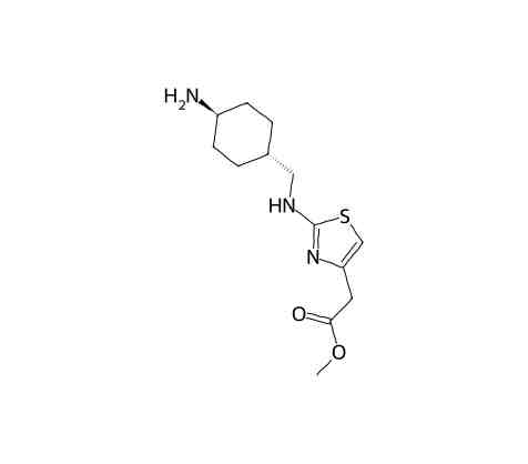 COC(=O)Cc1csc(NC[C@H]2CC[C@H](N)CC2)n1